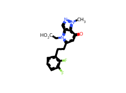 Cn1ncc2c1c(=O)cc(CCc1cccc(F)c1F)n2CC(=O)O